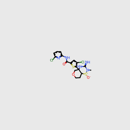 CN1C(=N)NC2(c3sc(C(=O)Nc4cccc(Cl)n4)cc3Cl)COCCC2[S+]1[O-]